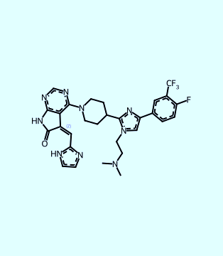 CN(C)CCn1cc(-c2ccc(F)c(C(F)(F)F)c2)nc1C1CCN(c2ncnc3c2/C(=C/c2ncc[nH]2)C(=O)N3)CC1